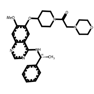 COc1cc2ncnc(N[C@H](C)c3ccccc3)c2cc1OC1CCN(C(=O)CN2CCOCC2)CC1